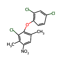 Cc1cc([N+](=O)[O-])c(C)c(Cl)c1Oc1ccc(Cl)cc1Cl